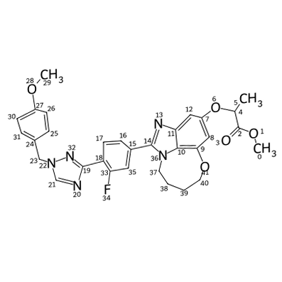 COC(=O)C(C)Oc1cc2c3c(c1)nc(-c1ccc(-c4ncn(Cc5ccc(OC)cc5)n4)c(F)c1)n3CCCCO2